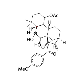 C=C1C(=O)[C@]23[C@H](OC(=O)c4ccc(OC)cc4)[C@H]1CC[C@H]2[C@@]12CO[C@]3(O)[C@@H](O)[C@@H]1C(C)(C)CCC2OC(C)=O